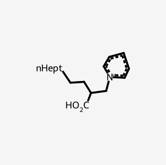 CCCCCCCCCC(C[n+]1ccccc1)C(=O)O